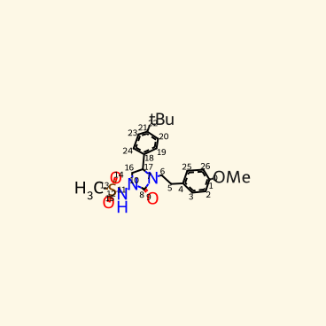 COc1ccc(CCN2C(=O)N(NS(C)(=O)=O)CC2c2ccc(C(C)(C)C)cc2)cc1